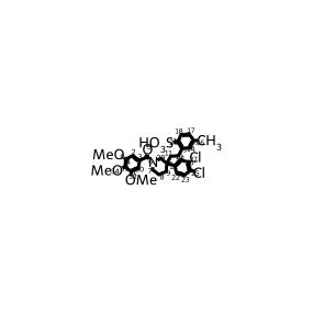 COc1cc(C(=O)N2CCCC(CCc3cc(C)ccc3S(=O)(=O)O)(c3ccc(Cl)c(Cl)c3)C2)cc(OC)c1OC